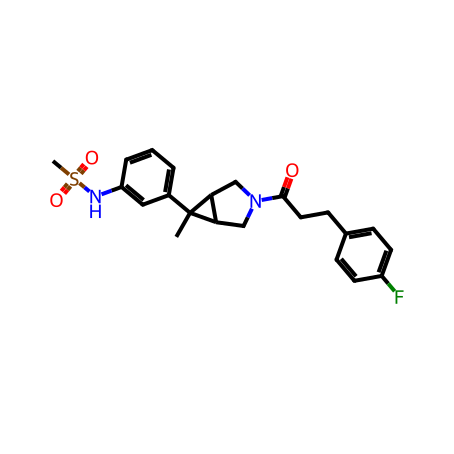 CC1(c2cccc(NS(C)(=O)=O)c2)C2CN(C(=O)CCc3ccc(F)cc3)CC21